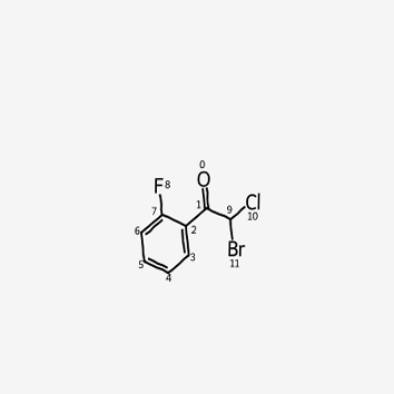 O=C(c1ccccc1F)C(Cl)Br